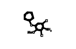 COc1c(Oc2ccccc2)cc(Cl)c(N)c1Cl